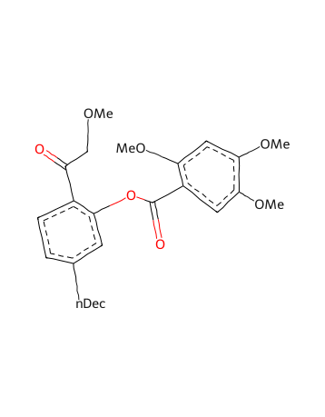 CCCCCCCCCCc1ccc(C(=O)COC)c(OC(=O)c2cc(OC)c(OC)cc2OC)c1